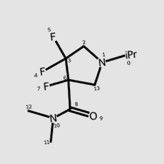 CC(C)N1CC(F)(F)C(F)(C(=O)N(C)C)C1